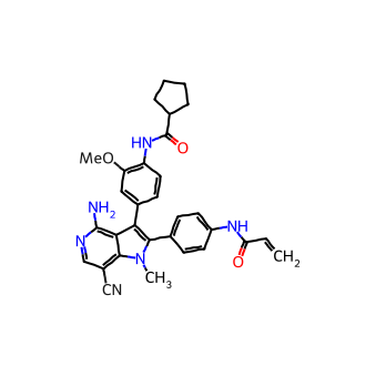 C=CC(=O)Nc1ccc(-c2c(-c3ccc(NC(=O)C4CCCC4)c(OC)c3)c3c(N)ncc(C#N)c3n2C)cc1